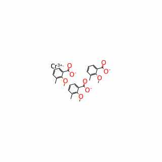 COc1c(C)cccc1C(=O)[O-].COc1c(C)cccc1C(=O)[O-].COc1c(C)cccc1C(=O)[O-].[Cr+3]